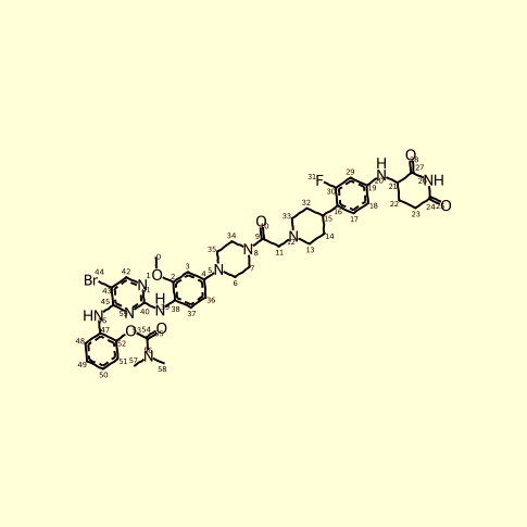 COc1cc(N2CCN(C(=O)CN3CCC(c4ccc(NC5CCC(=O)NC5=O)cc4F)CC3)CC2)ccc1Nc1ncc(Br)c(Nc2ccccc2OC(=O)N(C)C)n1